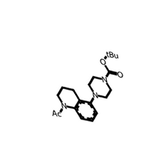 CC(=O)N1CCCc2c(N3CCN(C(=O)OC(C)(C)C)CC3)cccc21